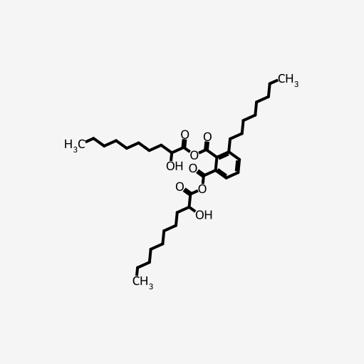 CCCCCCCCc1cccc(C(=O)OC(=O)C(O)CCCCCCCC)c1C(=O)OC(=O)C(O)CCCCCCCC